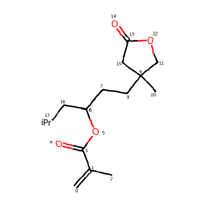 C=C(C)C(=O)OC(CCC1(C)COC(=O)C1)CC(C)C